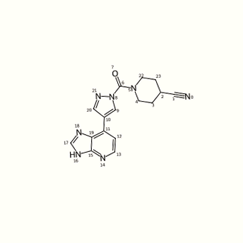 N#CC1CCN(C(=O)n2cc(-c3ccnc4[nH]cnc34)cn2)CC1